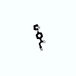 N#CCC(=O)c1ccc(-n2cccn2)cc1